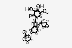 COc1cc(-c2nc3cc(N4CCOC4=O)ccc3n2C2(C)COC2)c(F)c(O)c1O